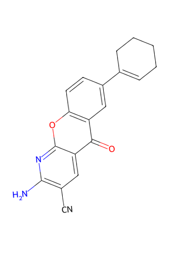 N#Cc1cc2c(=O)c3cc(C4=CCCCC4)ccc3oc2nc1N